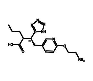 CCCC(C(=O)O)[C@H](Cc1ccc(OCCN)nc1)c1nnn[nH]1